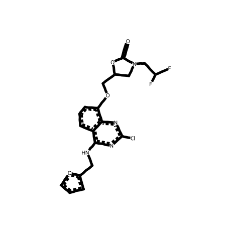 O=C1OC(COc2cccc3c(NCc4ccco4)nc(Cl)nc23)CN1CC(F)F